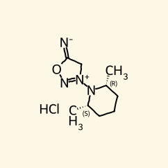 C[C@@H]1CCC[C@H](C)N1[N+]1=NOC(=[N-])C1.Cl